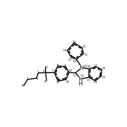 CCCCC(C)(C)c1ccc(C2Nc3ccccc3N2c2ccccc2)cc1